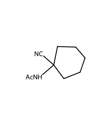 CC(=O)NC1(C#N)CCCCC1